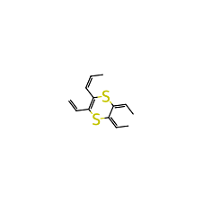 C=CC1=C(/C=C\C)SC(=C/C)/C(=C\C)S1